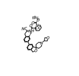 CC(C)(C)OC(=O)N1CC2CCC1(C(=O)N[C@H](C#N)Cc1ccc(-c3ccc4c(c3)C3(CCN(C5COC5)CC3)OC4)cc1F)CC2